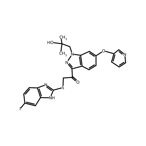 CC(C)(O)Cn1nc(C(=O)CSc2nc3ccc(I)cc3[nH]2)c2ccc(Oc3cccnc3)cc21